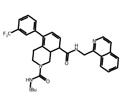 CC(C)(C)NC(=O)N1CCC2=C(c3cccc(C(F)(F)F)c3)C=CC(C(=O)NCc3nccc4ccccc34)C2C1